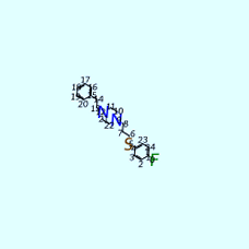 Fc1ccc(SCCCN2CCN(CCc3ccccc3)CC2)cc1